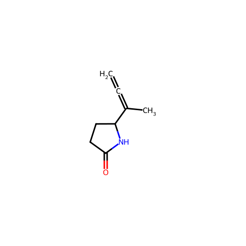 C=C=C(C)C1CCC(=O)N1